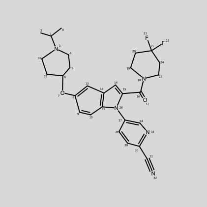 CC(C)N1CCC(Oc2ccc3c(c2)cc(C(=O)N2CCC(F)(F)CC2)n3-c2ccc(C#N)nc2)CC1